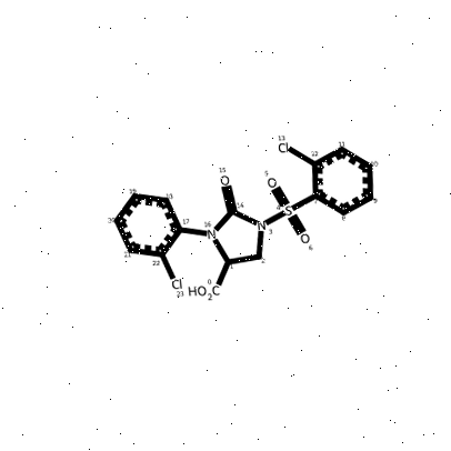 O=C(O)C1CN(S(=O)(=O)c2ccccc2Cl)C(=O)N1c1ccccc1Cl